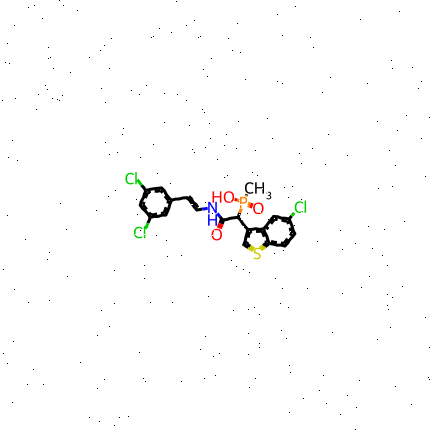 CP(=O)(O)C(C(=O)NC=Cc1cc(Cl)cc(Cl)c1)c1csc2ccc(Cl)cc12